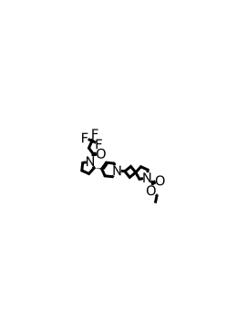 CCOC(=O)N1CCC2(CC(N3CC=C([C@@H]4CCCN4C(=O)CC(F)(F)F)CC3)C2)C1